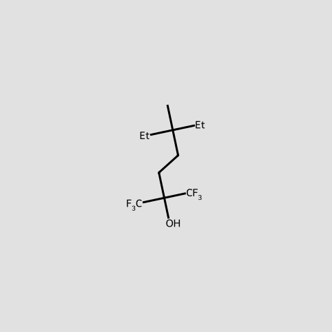 CCC(C)(CC)CCC(O)(C(F)(F)F)C(F)(F)F